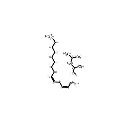 CC(O)NC(C)O.CCCCC/C=C\C/C=C\CCCCCCCC(=O)O